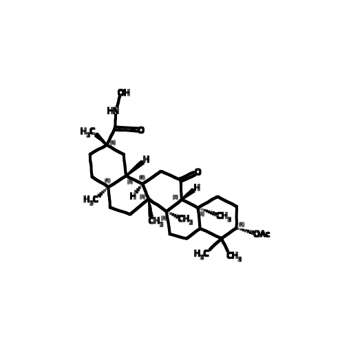 CC(=O)O[C@H]1CC[C@@]2(C)C(CC[C@]3(C)[C@@H]2C(=O)C[C@@H]2[C@H]4C[C@@](C)(C(=O)NO)CC[C@]4(C)CC[C@]23C)C1(C)C